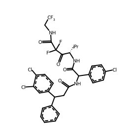 CC(C)[C@H](NC(=O)C(NC(=O)CC(c1ccccc1)c1ccc(Cl)c(Cl)c1)c1ccc(Cl)cc1)C(=O)C(F)(F)C(=O)NCC(F)(F)F